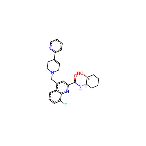 O=C(N[C@H]1CCCC[C@@H]1O)c1cc(CN2CC=C(c3ccccn3)CC2)c2cccc(F)c2n1